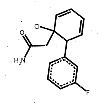 NC(=O)CC1(Cl)C=CC=CC1c1cccc(F)c1